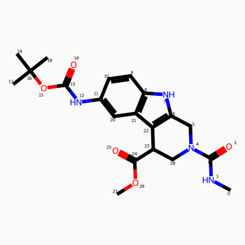 CNC(=O)N1Cc2[nH]c3ccc(NC(=O)OC(C)(C)C)cc3c2C(C(=O)OC)C1